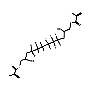 C=C(C)C(=O)OCC(O)CC(F)(F)C(F)(F)C(F)(F)C(F)(F)C(F)(F)C(F)(F)CC(O)COC(=O)C(=C)C